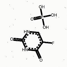 O=P(O)(O)O.O=c1[nH]cc(F)c(=O)[nH]1